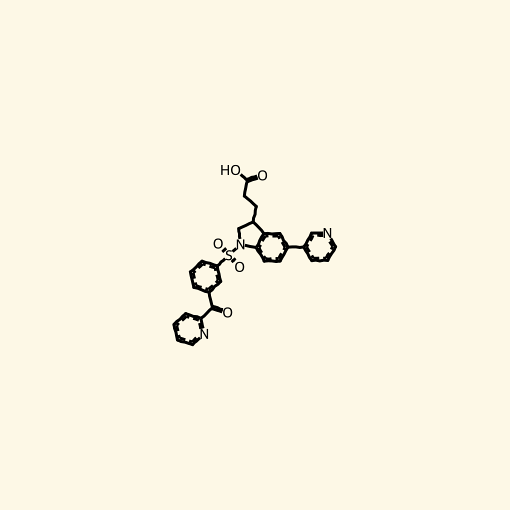 O=C(O)CCC1CN(S(=O)(=O)c2cccc(C(=O)c3ccccn3)c2)c2ccc(-c3cccnc3)cc21